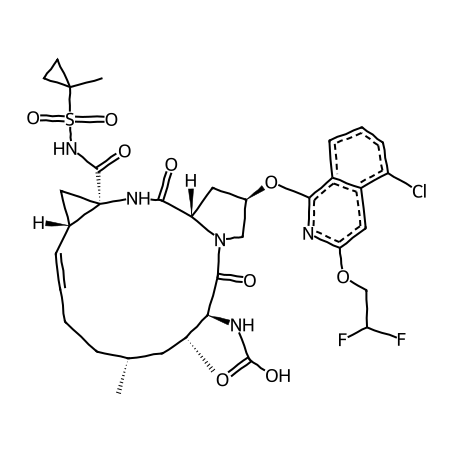 C[C@@H]1CC/C=C\[C@@H]2C[C@@]2(C(=O)NS(=O)(=O)C2(C)CC2)NC(=O)[C@@H]2C[C@@H](Oc3nc(OCC(F)F)cc4c(Cl)cccc34)CN2C(=O)[C@@H](NC(=O)O)[C@H](C)C1